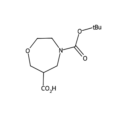 CC(C)(C)OC(=O)N1CCOCC(C(=O)O)C1